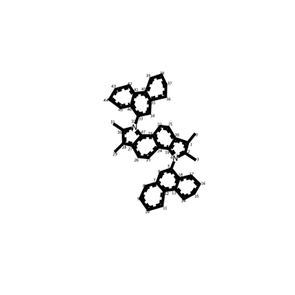 Cc1c(C)n(-c2cc3ccccc3c3ccccc23)c2c1ccc1c2ccc2c(C)c(C)n(-c3cc4ccccc4c4ccccc34)c21